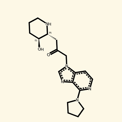 O=C(C[C@H]1NCCC[C@@H]1O)Cn1cnc2c(N3CCCC3)nccc21